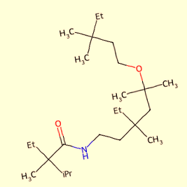 CCC(C)(C)CCOC(C)(C)CC(C)(CC)CCNC(=O)C(C)(CC)C(C)C